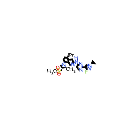 CC(C)c1ccc(N2C[C@H](CS(C)(=O)=O)[C@H]2C)c2cnc(Nc3ccnc(-c4cn(C5CC5)nc4F)n3)cc12